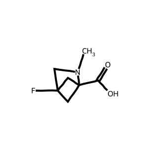 CN1CC2(F)CC1(C(=O)O)C2